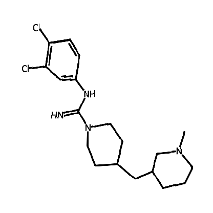 CN1CCCC(CC2CCN(C(=N)Nc3ccc(Cl)c(Cl)c3)CC2)C1